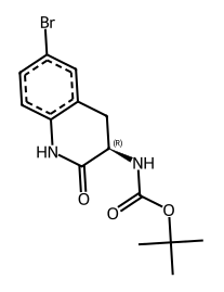 CC(C)(C)OC(=O)N[C@@H]1Cc2cc(Br)ccc2NC1=O